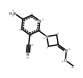 Bc1cnc(N2CC(=NOC)C2)c(C#N)c1